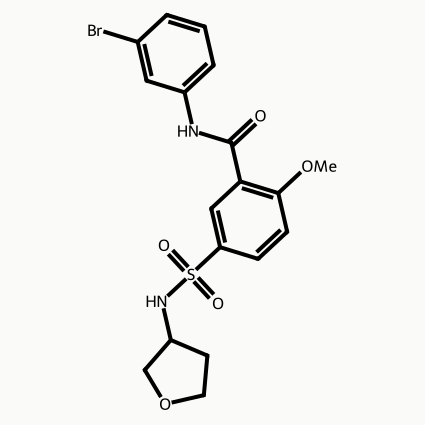 COc1ccc(S(=O)(=O)NC2CCOC2)cc1C(=O)Nc1cccc(Br)c1